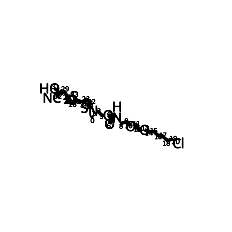 CN(CCOC(=O)NCCOCCOCCCCCCCl)c1ccc(-c2ccc(/C=C(/O)C#N)s2)s1